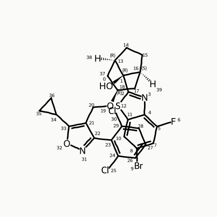 O[C@@]1(c2nc3c(F)cc(Br)cc3s2)[C@@H]2CC[C@H]1C[C@@H](OCc1c(-c3c(Cl)cccc3Cl)noc1C1CC1)C2